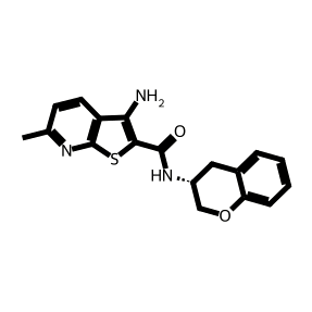 Cc1ccc2c(N)c(C(=O)N[C@H]3COc4ccccc4C3)sc2n1